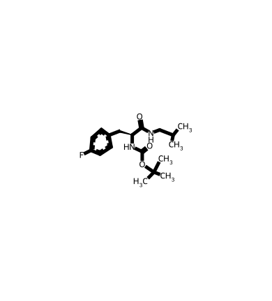 CC(C)CNC(=O)[C@H](Cc1ccc(F)cc1)NC(=O)OC(C)(C)C